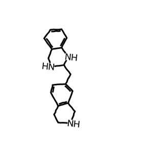 c1ccc2c(c1)CNC(Cc1ccc3c(c1)CNCC3)N2